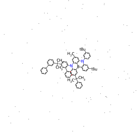 Cc1cc2c3c(c1)N(c1ccc(C(C)(C)c4cccc(-c5ccccc5)c4)cc1-c1ccccc1)c1ccc(C(C)(C)c4ccccc4)cc1B3c1ccc(C(C)(C)C)cc1N2c1cccc(C(C)(C)C)c1